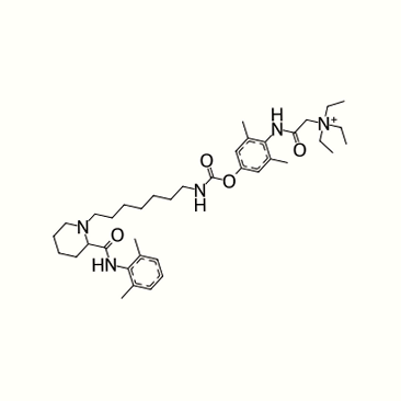 CC[N+](CC)(CC)CC(=O)Nc1c(C)cc(OC(=O)NCCCCCCCN2CCCCC2C(=O)Nc2c(C)cccc2C)cc1C